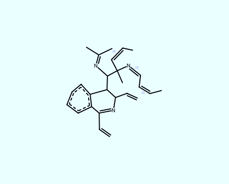 C=CC1=NC(C=C)C(C(N=C(C)C)C(C)(/C=C\C)/N=C\C=C/C)c2ccccc21